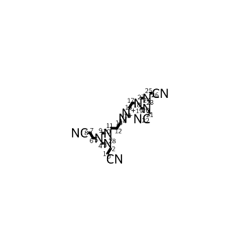 N#CCCN1CN(CCC#N)CN(CCC#[N+][N+]#CCN2CN(CC#N)CN(CC#N)C2)C1